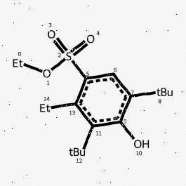 CCOS(=O)(=O)c1cc(C(C)(C)C)c(O)c(C(C)(C)C)c1CC